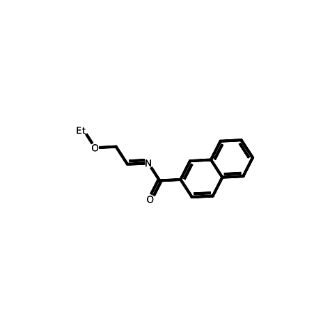 CCOCC=NC(=O)c1ccc2ccccc2c1